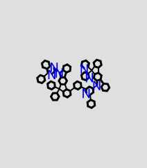 c1ccc(-c2cc(-n3c4ccccc4c4cc5c(cc43)C(c3ccccn3)(c3ccccn3)c3ccccc3-5)cc(-c3cccc(-c4cccc5c4-c4cc6c7ccccc7n(-c7nc(-c8ccccc8)c8ccccc8n7)c6cc4C5(c4ccccc4)c4ccccc4)c3)n2)cc1